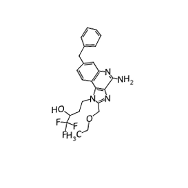 CCOCc1nc2c(N)nc3cc(Cc4ccccc4)ccc3c2n1CCC(O)C(F)(F)F